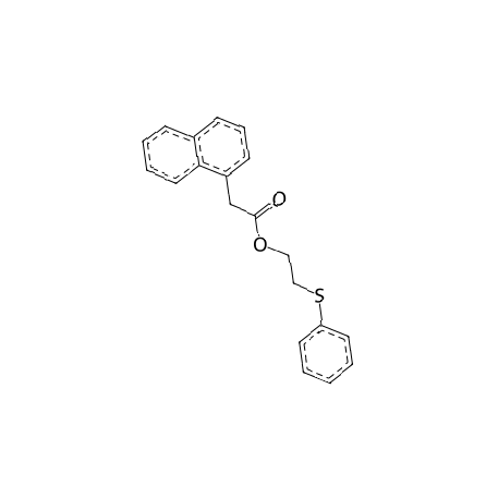 O=C(Cc1cccc2ccccc12)OCCSc1ccccc1